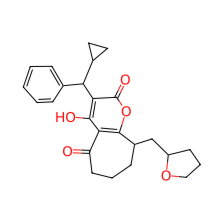 O=C1CCCC(CC2CCCO2)c2oc(=O)c(C(c3ccccc3)C3CC3)c(O)c21